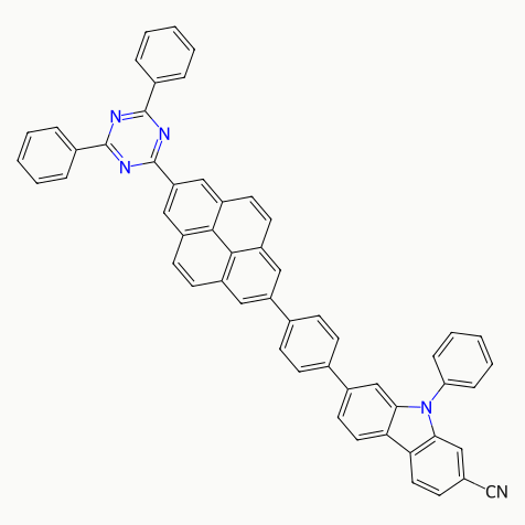 N#Cc1ccc2c3ccc(-c4ccc(-c5cc6ccc7cc(-c8nc(-c9ccccc9)nc(-c9ccccc9)n8)cc8ccc(c5)c6c78)cc4)cc3n(-c3ccccc3)c2c1